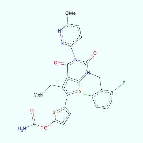 CNCc1c(-c2ccc(OC(N)=O)s2)sc2c1c(=O)n(-c1ccc(OC)nn1)c(=O)n2Cc1c(F)cccc1F